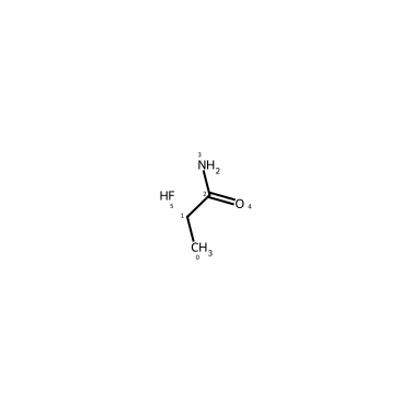 CCC(N)=O.F